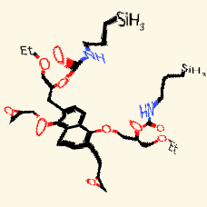 CCOCC(COc1c(CC2CO2)ccc2c(OCC3CO3)c(CC(COCC)OC(=O)NCCC[SiH3])ccc12)OC(=O)NCCC[SiH3]